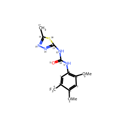 COc1cc(OC)c(C(F)(F)F)cc1NC(=O)Nc1nnc(C)s1